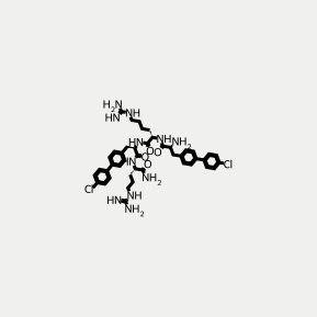 N=C(N)NCCCC[C@H](NC(=O)[C@@H](N)Cc1ccc(-c2ccc(Cl)cc2)cc1)C(=O)N[C@H](Cc1ccc(-c2ccc(Cl)cc2)cc1)C(=O)N[C@@H](CCCNC(=N)N)C(N)=O